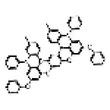 Cc1ccc2c(c1)N(c1ccccc1)c1cc(Oc3ccccc3)cc3c1B2c1cc2c(cc1O3)Oc1cc(Oc3ccccc3)cc3c1B2c1ccc(C)cc1N3c1ccccc1